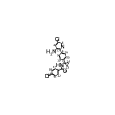 Nc1cc(Cl)cnc1-c1ccc(C2(NC(=O)c3ccc(Cl)cc3)CC2)cc1